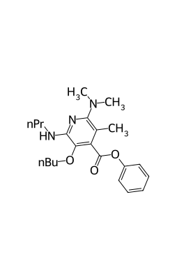 CCCCOc1c(NCCC)nc(N(C)C)c(C)c1C(=O)Oc1ccccc1